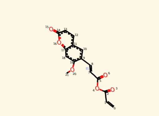 C=CC(=O)OC(=O)/C=C/c1cc2ccc(=O)oc2cc1OC